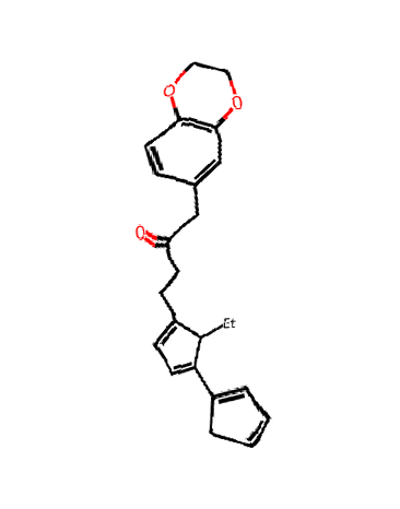 CCC1C(CCC(=O)Cc2ccc3c(c2)OCCO3)=CC=C1C1=CC=CC1